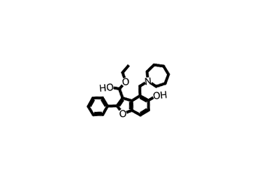 CCOC(O)c1c(-c2ccccc2)oc2ccc(O)c(CN3CCCCCC3)c12